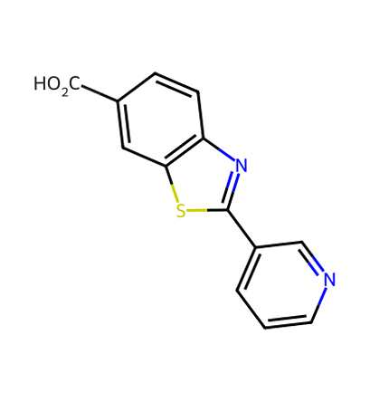 O=C(O)c1ccc2nc(-c3cccnc3)sc2c1